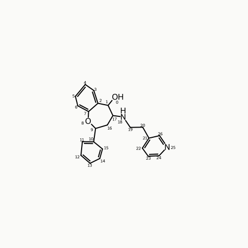 OC1c2ccccc2OC(c2ccccc2)CC1NCCc1cccnc1